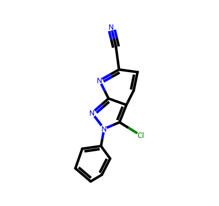 N#Cc1ccc2c(Cl)n(-c3ccccc3)nc2n1